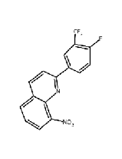 O=[N+]([O-])c1cccc2ccc(-c3ccc(F)c(C(F)(F)F)c3)nc12